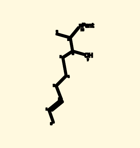 C/C=C/CCCC(O)C(C)CCCCC